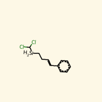 ClC(Cl)[SiH2]CCC=Cc1ccccc1